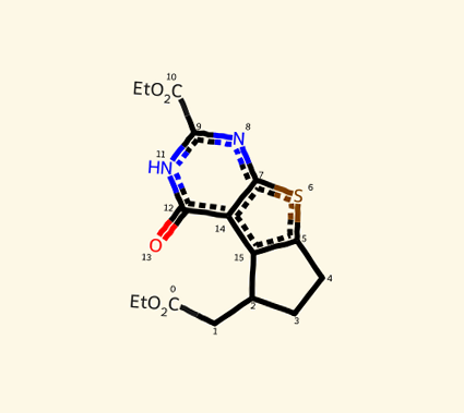 CCOC(=O)CC1CCc2sc3nc(C(=O)OCC)[nH]c(=O)c3c21